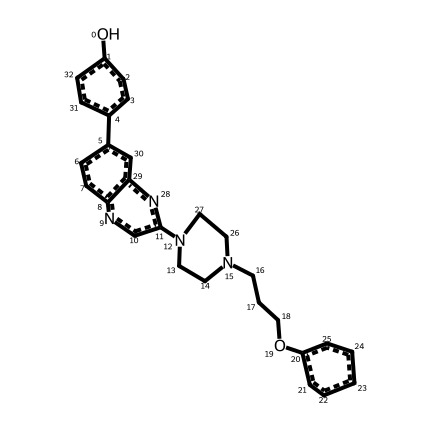 Oc1ccc(-c2ccc3ncc(N4CCN(CCCOc5ccccc5)CC4)nc3c2)cc1